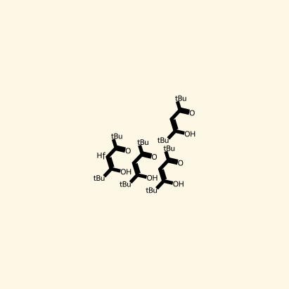 CC(C)(C)C(=O)C=C(O)C(C)(C)C.CC(C)(C)C(=O)C=C(O)C(C)(C)C.CC(C)(C)C(=O)C=C(O)C(C)(C)C.CC(C)(C)C(=O)C=C(O)C(C)(C)C.[Hf]